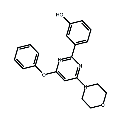 Oc1cccc(-c2nc(Oc3ccccc3)cc(N3CCOCC3)n2)c1